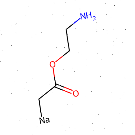 NCCOC(=O)[CH2][Na]